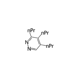 CCCc1cnnc(CCC)c1CCC